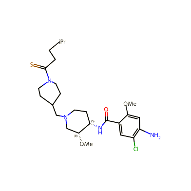 COc1cc(N)c(Cl)cc1C(=O)N[C@H]1CCN(CC2CCN(C(=S)CCC(C)C)CC2)C[C@H]1OC